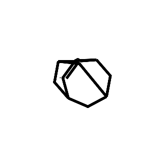 [C]1=[C]C2CC3CC1CC(C2)C3